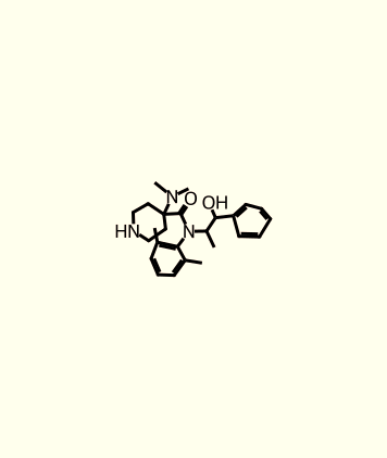 Cc1cccc(C)c1N(C(=O)C1(N(C)C)CCNCC1)C(C)C(O)c1ccccc1